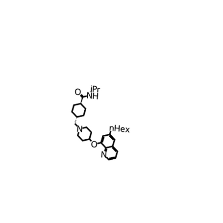 CCCCCCc1cc(OC2CCN(C[C@H]3CC[C@H](C(=O)NC(C)C)CC3)CC2)c2ncccc2c1